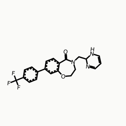 O=C1c2ccc(-c3ccc(C(F)(F)F)cc3)cc2OCCN1CC1N=CC=CN1